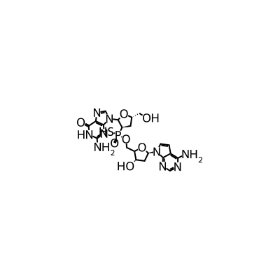 Nc1nc2c(ncn2C2O[C@H](CO)C[C@H]2[P@](=O)(S)OCC2O[C@@H](n3ccc4c(N)ncnc43)C[C@@H]2O)c(=O)[nH]1